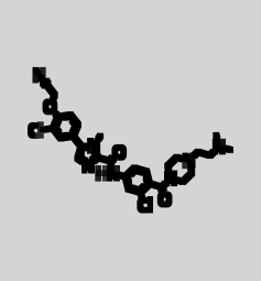 CN(C)CCN1CCN(C(=O)c2ccc(NC(=O)c3ncc(-c4ccc(OCC#N)c(Cl)c4)n3C)cc2Cl)CC1